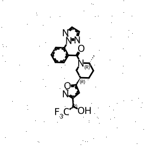 C[C@@H]1CC[C@@H](c2cc([C@@H](O)C(F)(F)F)no2)CN1C(=O)c1ccccc1-n1nccn1